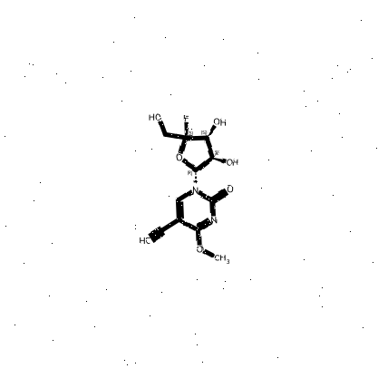 C#Cc1cn([C@@H]2O[C@](F)(CO)[C@@H](O)[C@H]2O)c(=O)nc1OC